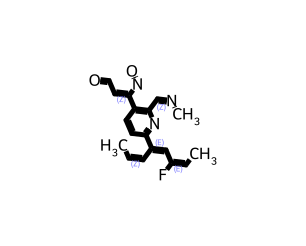 C\C=C/C(=C\C(F)=C/C)c1ccc(/C(=C/C=O)N=O)c(/C=N\C)n1